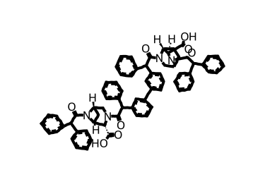 O=C(O)[C@@H]1[C@H]2C[C@@H](CN1C(=O)C(c1ccccc1)c1cccc(-c3cccc(C(C(=O)N4CC5CC[C@@H]4[C@@H](C(=O)O)N5C(=O)C(c4ccccc4)c4ccccc4)c4ccccc4)c3)c1)N2C(=O)C(c1ccccc1)c1ccccc1